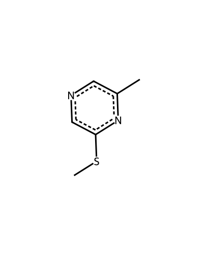 CSc1cncc(C)n1